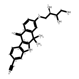 CC1(C)c2cc(OC[C@@H](O)C(O)CO)ccc2C(=O)c2c1[nH]c1cc(C#N)ccc21